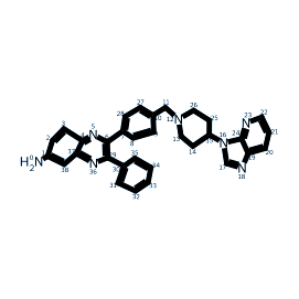 Nc1ccc2nc(-c3ccc(CN4CCC(n5cnc6cccnc65)CC4)cc3)c(-c3ccccc3)nc2c1